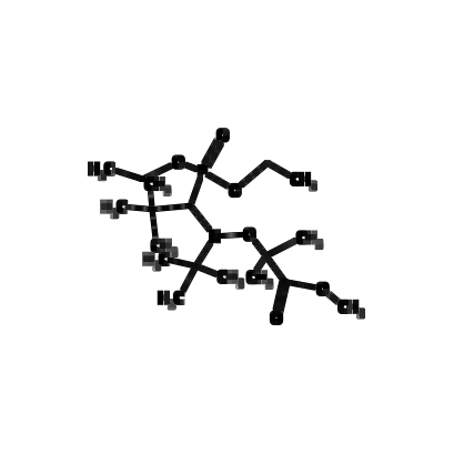 CCOP(=O)(OCC)C(N(OC(C)(C)C(=O)OC)C(C)(C)C)C(C)(C)C